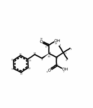 CC(C)(C)C(C(=O)O)[C@@H](CCc1ccccc1)C(=O)O